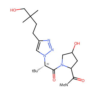 CNC(=O)C1CC(O)CN1C(=O)[C@@H](n1cc(CCC(C)(C)CO)nn1)C(C)(C)C